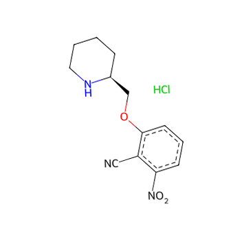 Cl.N#Cc1c(OC[C@@H]2CCCCN2)cccc1[N+](=O)[O-]